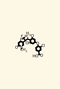 C[C@H](c1ccc(Oc2ccc(C(=O)O)cc2Cl)cc1Cl)[C@@](O)(c1ccc(=O)n(C)c1)C(F)(F)F